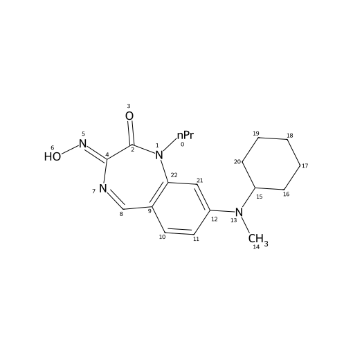 CCCn1c(=O)c(=NO)ncc2ccc(N(C)C3CCCCC3)cc21